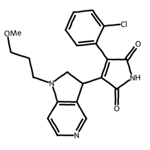 COCCCN1CC(C2=C(c3ccccc3Cl)C(=O)NC2=O)c2cnccc21